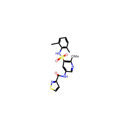 COc1ncc(NC(=O)c2ccsn2)cc1S(=O)(=O)Nc1c(C)cccc1C